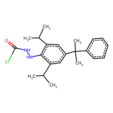 CC(C)c1cc(C(C)(C)c2ccccc2)cc(C(C)C)c1NNC(=O)Cl